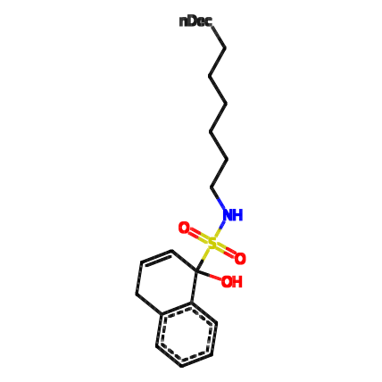 CCCCCCCCCCCCCCCCNS(=O)(=O)C1(O)C=CCc2ccccc21